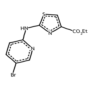 CCOC(=O)c1csc(Nc2ccc(Br)cn2)n1